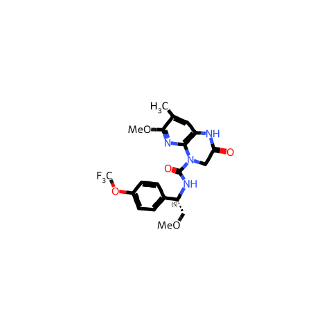 COC[C@@H](NC(=O)N1CC(=O)Nc2cc(C)c(OC)nc21)c1ccc(OC(F)(F)F)cc1